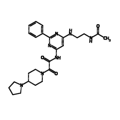 CC(=O)NCCNc1cc(NC(=O)C(=O)N2CCC(N3CCCC3)CC2)nc(-c2ccccc2)n1